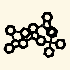 c1ccc(-c2ccccc2-n2c3ccccc3c3ccc(-n4c5ccc([Si](c6ccccc6)(c6ccccc6)c6ccccc6)cc5c5c(-n6c7ccccc7c7ccccc76)cccc54)cc32)cc1